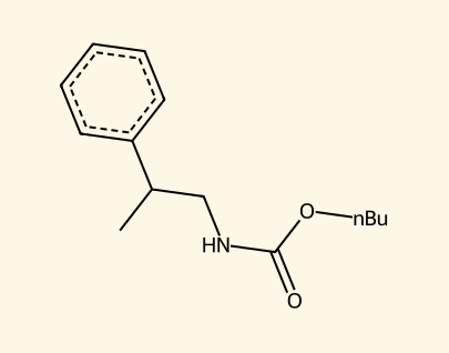 CCCCOC(=O)NCC(C)c1ccccc1